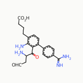 N=C(N)c1ccc(-c2ccc(CCCC(=O)O)c(N)c2C(=O)C(N)CC=O)cc1